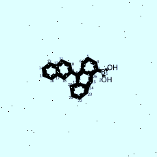 OB(O)c1cccc2c(-c3ccc4ccccc4c3)c3ccccc3cc12